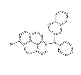 CC(C)c1ccc2ccc3c(N(c4ccccc4)c4ccc5ccccc5c4)ccc4ccc1c2c43